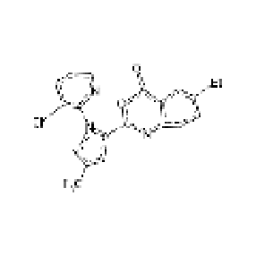 CCc1ccc2nc(-c3cc(C(F)(F)F)nn3-c3ncccc3Cl)oc(=O)c2c1